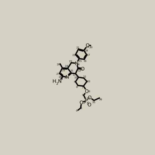 CCOP(=O)(COC1CCC(C2C(=O)N(c3ccc(OC)cc3)Cc3c(C)cc(N)nc32)CC1)OCC